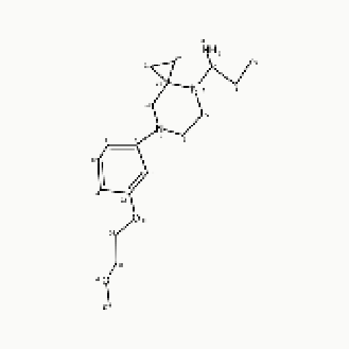 CCC(N)N1CCN(c2cccc(OCCOC)c2)CC12CC2